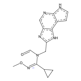 CO/N=C(/C1CC1)N(C=O)Cc1nc2cnc3[nH]ccc3c2[nH]1